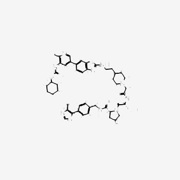 Cc1ncc(-c2ccc3nc(NCCC4CCN(CC(=O)N[C@H](C(=O)N5C[C@H](O)C[C@H]5C(=O)NCc5ccc(-c6scnc6C)cc5)C(C)(C)C)CC4)sc3c2)cc1NC(=O)OC1CCCCC1